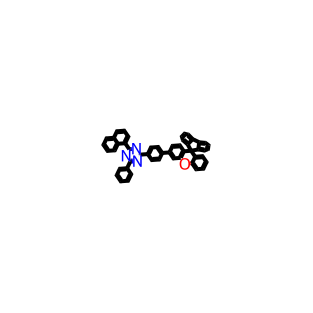 c1ccc(-c2nc(-c3ccc(-c4ccc5c(c4)Oc4ccccc4C54c5ccccc5-c5ccccc54)cc3)nc(-c3cccc4ccccc34)n2)cc1